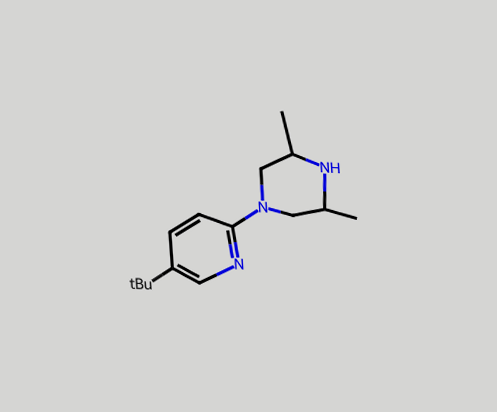 CC1CN(c2ccc(C(C)(C)C)cn2)CC(C)N1